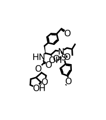 COc1ccc(S(=O)(=O)N(CC(C)C)C[C@@H](O)[C@H](Cc2ccc(C=O)cc2)NC(=O)O[C@H]2CO[C@H]3OCCC32)cc1